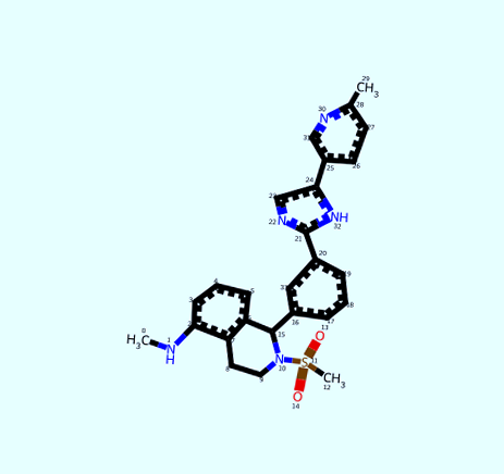 CNc1cccc2c1CCN(S(C)(=O)=O)C2c1cccc(-c2ncc(-c3ccc(C)nc3)[nH]2)c1